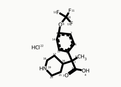 CC(C(=O)O)(c1ccc(OC(F)(F)F)cc1)C1CCNCC1.Cl